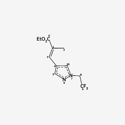 CCOC(=O)/C(C)=C/c1cnn(CC(F)(F)F)c1